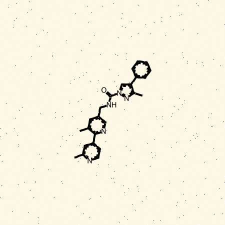 Cc1cc(-c2ncc(CNC(=O)n3cc(-c4ccccc4)c(C)n3)cc2C)ccn1